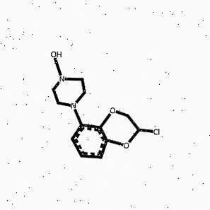 ON1CCN(c2cccc3c2OCC(Cl)O3)CC1